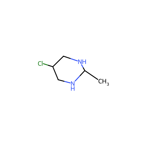 CC1NCC(Cl)CN1